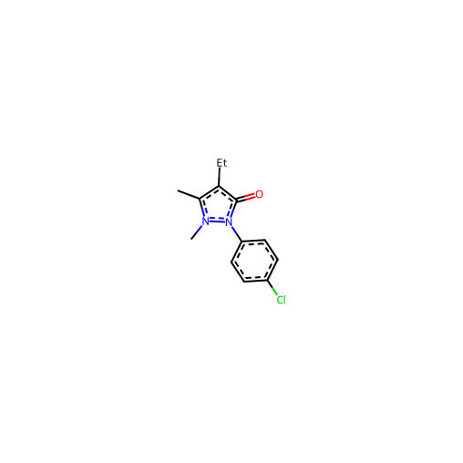 CCc1c(C)n(C)n(-c2ccc(Cl)cc2)c1=O